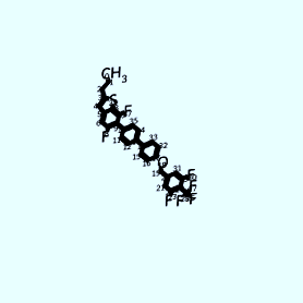 CCCc1cc2cc(F)c(-c3ccc(-c4ccc(OCc5cc(F)c(C(F)(F)F)c(F)c5)cc4)cc3)c(F)c2s1